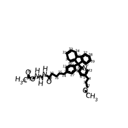 COCCCc1ccc(C2(c3ccc(CCCCC(=O)NNNOC(C)=O)cc3)C3=CCC=CC=C3c3ccccc32)nc1